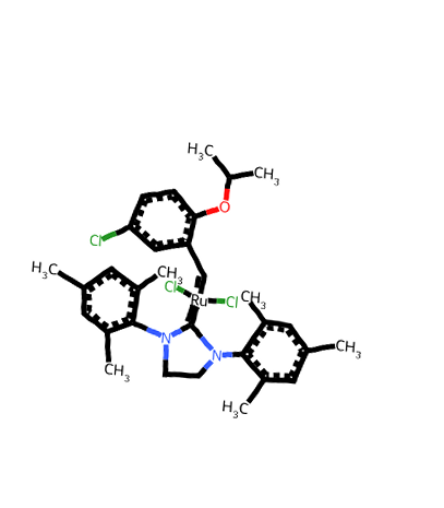 Cc1cc(C)c(N2CCN(c3c(C)cc(C)cc3C)[C]2=[Ru]([Cl])([Cl])=[CH]c2cc(Cl)ccc2OC(C)C)c(C)c1